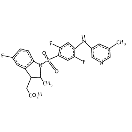 Cc1cncc(Nc2cc(F)c(S(=O)(=O)N3c4ccc(F)cc4C(CC(=O)O)C3C)cc2F)c1